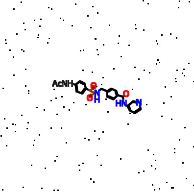 CC(=O)Nc1ccc(S(=O)(=O)NCc2ccc(C(=O)Nc3cccnc3)cc2)cc1